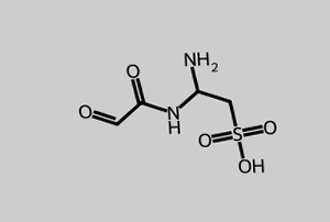 NC(CS(=O)(=O)O)NC(=O)C=O